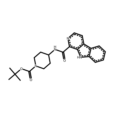 CC(C)(C)OC(=O)N1CCC(NC(=O)c2nccc3c2[nH]c2ccccc23)CC1